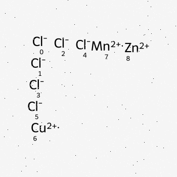 [Cl-].[Cl-].[Cl-].[Cl-].[Cl-].[Cl-].[Cu+2].[Mn+2].[Zn+2]